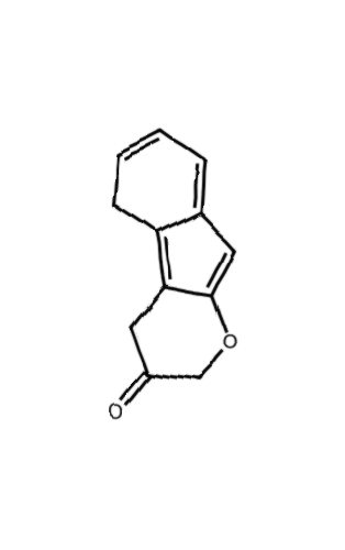 O=C1COC2=CC3=CC=CCC3=C2C1